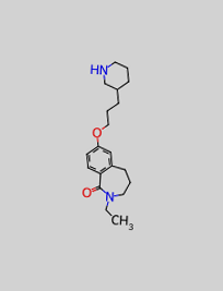 CCN1CCCc2cc(OCCCC3CCCNC3)ccc2C1=O